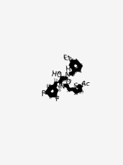 CCc1cccc(CNC[C@@H](O)[C@H](Cc2cc(F)cc(F)c2)NC(=O)Cc2ccc(C(C)=O)s2)c1